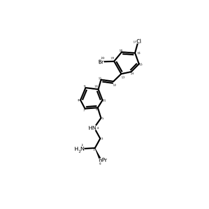 CCC[C@@H](N)CNCc1cccc(/C=C/c2ccc(Cl)cc2Br)c1